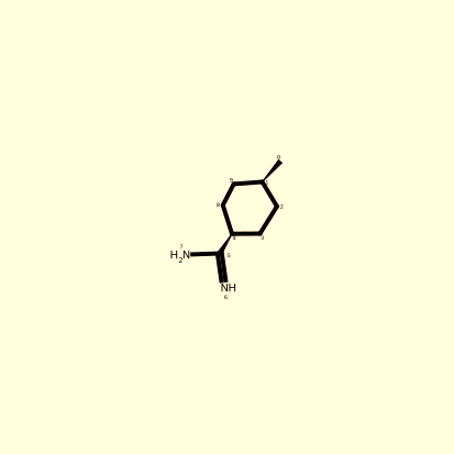 C[C@H]1CC[C@@H](C(=N)N)CC1